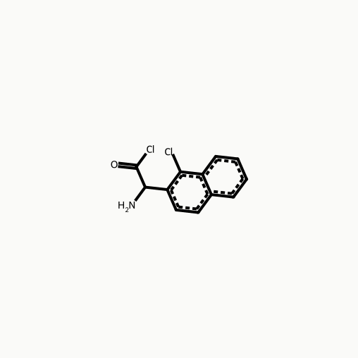 NC(C(=O)Cl)c1ccc2ccccc2c1Cl